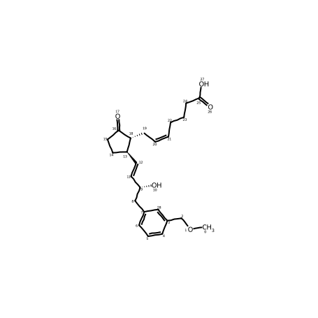 COCc1cccc(C[C@@H](O)/C=C/[C@H]2CCC(=O)[C@@H]2C/C=C\CCCC(=O)O)c1